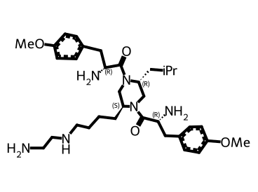 COc1ccc(C[C@@H](N)C(=O)N2C[C@H](CCCCNCCN)N(C(=O)[C@H](N)Cc3ccc(OC)cc3)C[C@H]2CC(C)C)cc1